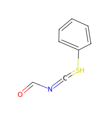 O=CN=C=[SH]c1ccccc1